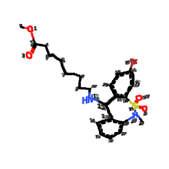 COC(=O)CCCCCCCNC1c2ccccc2N(C)S(=O)(=O)c2cc(Br)ccc21